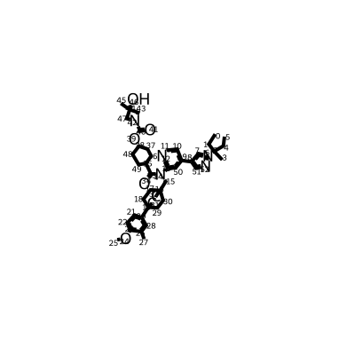 CCC(C)(CC)n1cc(-c2ccnc(N(CC34CCC(c5ccc(OC)c(C)c5)(CC3)CC4)C(=O)C3CCC(OC(=O)N4CC(C)(O)C4)CC3)c2)cn1